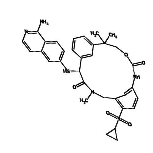 CN1Cc2cc(ccc2S(=O)(=O)C2CC2)NC(=O)OCC(C)(C)c2cccc(c2)[C@@H](Nc2ccc3c(N)nccc3c2)C1=O